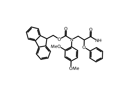 COc1ccc(N(CC(Oc2ccccc2)C([NH])=O)C(=O)OCC2c3ccccc3-c3ccccc32)c(OC)c1